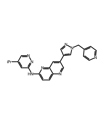 CC(C)c1cnnc(Nc2ccc3ncc(-c4cnn(Cc5ccncc5)c4)cc3n2)c1